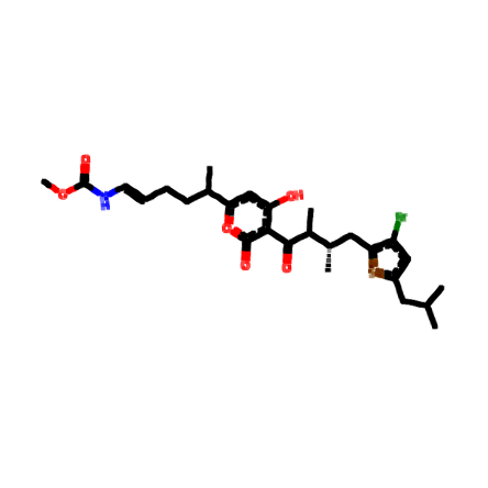 COC(=O)N/C=C/CCC(C)c1cc(O)c(C(=O)C(C)[C@@H](C)Cc2sc(CC(C)C)cc2Br)c(=O)o1